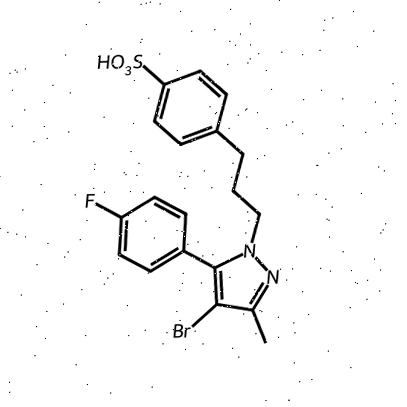 Cc1nn(CCCc2ccc(S(=O)(=O)O)cc2)c(-c2ccc(F)cc2)c1Br